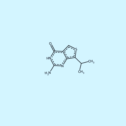 CC(C)c1scc2c(=O)[nH]c(N)nc12